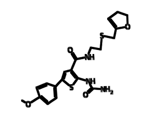 COc1ccc(-c2cc(C(=O)NCCSCC3=CCCO3)c(NC(N)=O)s2)cc1